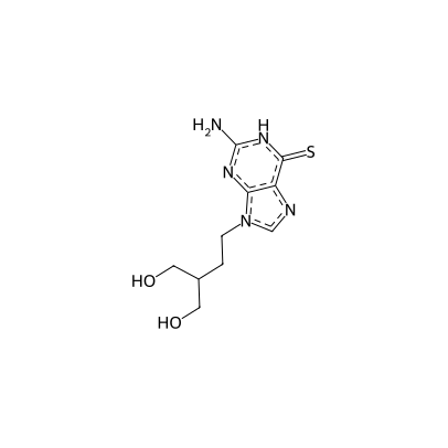 Nc1nc2c(ncn2CCC(CO)CO)c(=S)[nH]1